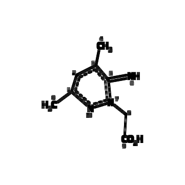 Cc1cc(C)c(=N)n(CC(=O)O)n1